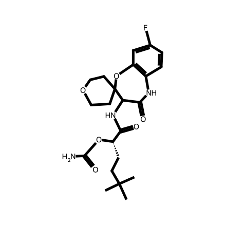 CC(C)(C)CC[C@H](OC(N)=O)C(=O)NC1C(=O)Nc2ccc(F)cc2OC12CCOCC2